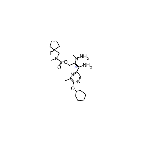 Cc1nc(/C(N)=C(\COC(=O)N(C)CC2(F)CCCC2)N(C)N)cnc1OC1CCCCC1